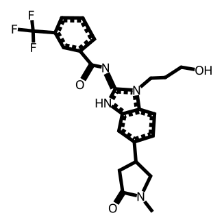 CN1CC(c2ccc3c(c2)[nH]/c(=N\C(=O)c2cccc(C(F)(F)F)c2)n3CCCO)CC1=O